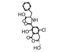 O=C(NC(Cc1ccccc1)C(=O)O)c1cc(Cl)c2c(c1O)C(=O)O[C@@H](CO)C2